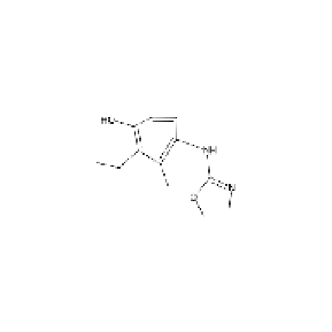 CCc1c(O)ccc(NC2=NCCO2)c1C